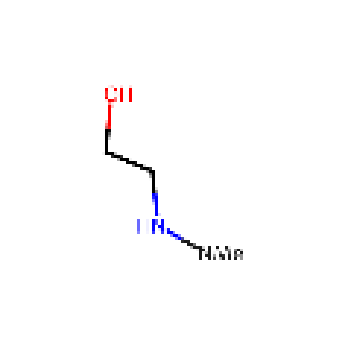 CNNCCO